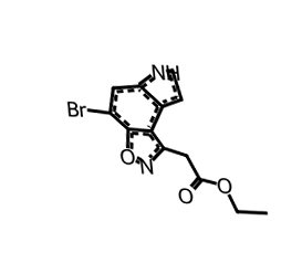 CCOC(=O)Cc1noc2c(Br)cc3[nH]ccc3c12